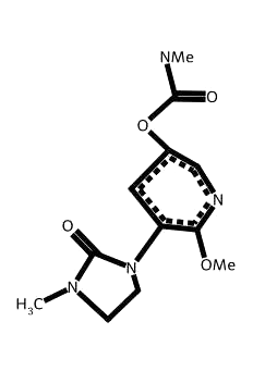 CNC(=O)Oc1cnc(OC)c(N2CCN(C)C2=O)c1